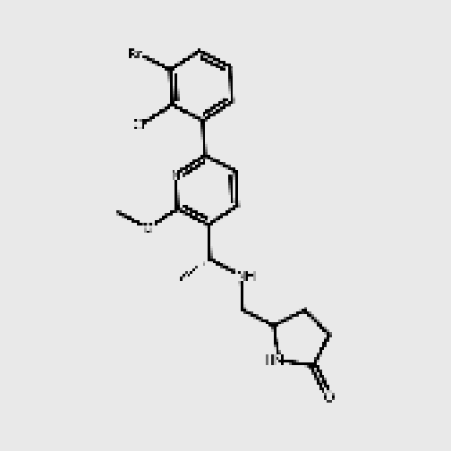 COc1nc(-c2cccc(Br)c2Cl)ccc1[C@@H](C)NCC1CCC(=O)N1